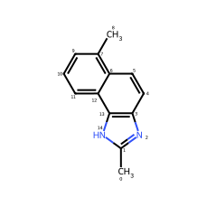 Cc1nc2ccc3c(C)cccc3c2[nH]1